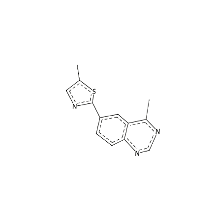 Cc1cnc(-c2ccc3ncnc(C)c3c2)s1